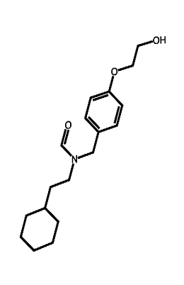 O=CN(CCC1CCCCC1)Cc1ccc(OCCO)cc1